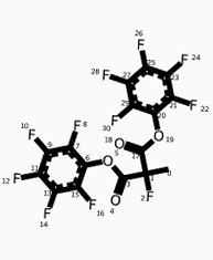 CC(F)(C(=O)Oc1c(F)c(F)c(F)c(F)c1F)C(=O)Oc1c(F)c(F)c(F)c(F)c1F